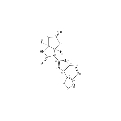 O=C1N[C@H]2C[C@@H](O)C[C@H]2N1c1nc2c3c(ccc2s1)OCC3